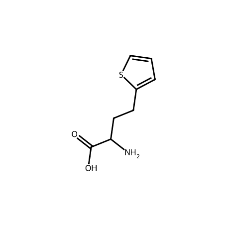 NC(CCc1cccs1)C(=O)O